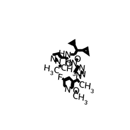 COc1ncc(F)cc1C(C)n1cc(NOC(NC(=O)c2ccnn2C(C)C)C(C2CC2)C2CC2)nn1